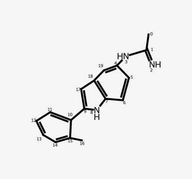 CC(=N)Nc1ccc2[nH]c(-c3ccccc3C)cc2c1